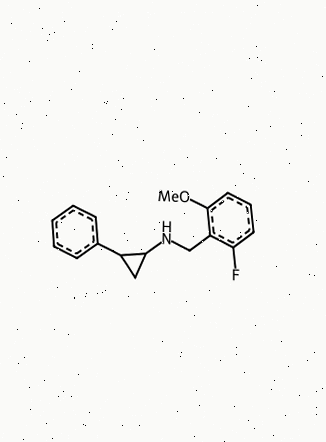 COc1cccc(F)c1CNC1CC1c1ccccc1